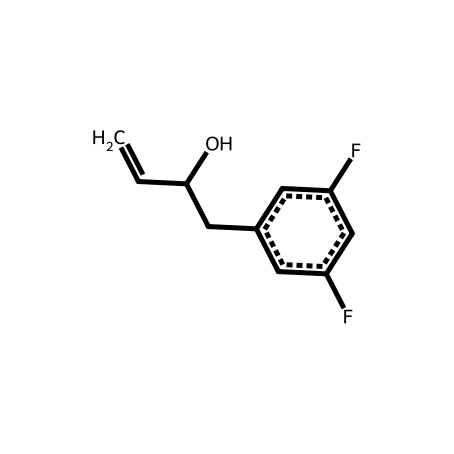 C=CC(O)Cc1cc(F)cc(F)c1